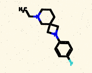 CCN1CCCC2(C1)CN(c1ccc(F)cc1)C2